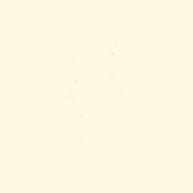 CCCCNc1c(F)c(F)c(F)c2c3nc4nc(nc5c6c(F)c(F)c(F)c(F)c6c(nc6nc(nc([nH]3)c12)-c1c(F)c(F)c(F)c(F)c1-6)n5F)-c1c-4cc(F)c(F)c1F